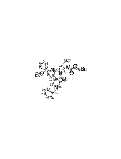 CCOc1ncccc1-c1ccc2c(n1)CN(C[C@H]1CCCN1C(=O)OC(C)(C)C)C[C@]21CCN(Cc2ccccc2)C[C@H]1CC